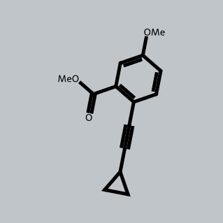 COC(=O)c1cc(OC)ccc1C#CC1CC1